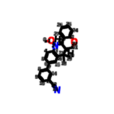 CON1c2ccc(-c3cccc(C#N)c3)cc2C(C)(C)[C@H]2COc3ccccc3[C@H]21